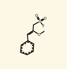 COC(=Cc1ccccc1)CS(=O)(=O)F